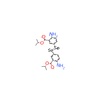 CC(C)OC(=O)c1cc([Se][Se]c2ccc(N)c(C(=O)OC(C)C)c2)ccc1N